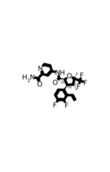 C=Cc1c([C@H]2[C@@H](C(=O)Nc3ccnc(C(N)=O)c3)O[C@@](C)(C(F)(F)F)[C@@H]2C)ccc(F)c1F